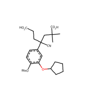 COc1ccc(C(C#N)(CCC(=O)O)CC(C)(C)C(=O)O)cc1OC1CCCC1